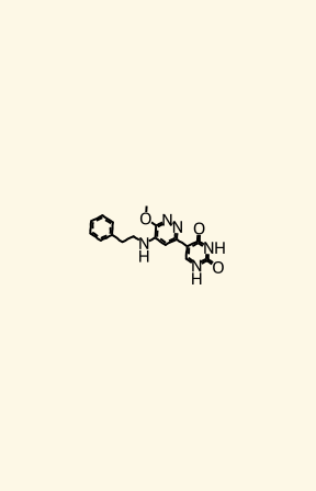 COc1nnc(-c2c[nH]c(=O)[nH]c2=O)cc1NCCc1ccccc1